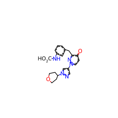 O=C(O)Nc1cccc(Cc2nn(-c3cnn(C4CCOCC4)c3)ccc2=O)c1